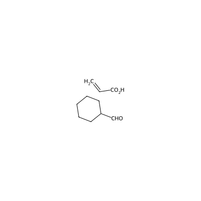 C=CC(=O)O.O=CC1CCCCC1